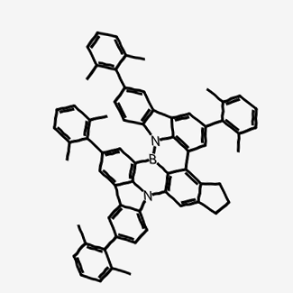 Cc1cccc(C)c1-c1ccc2c(c1)c1cc(-c3c(C)cccc3C)cc3c1n2B1c2c(cc4c(c2-3)CCC4)-n2c3ccc(-c4c(C)cccc4C)cc3c3cc(-c4c(C)cccc4C)cc1c32